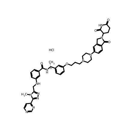 C[C@@H](NC(=O)c1cccc(NCc2nnc(-c3ccncn3)n2C)c1)c1cccc(OCCCN2CCN(c3ccc4c(c3)CN(C3CCC(=O)NC3=O)C4=O)CC2)c1.Cl